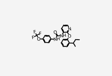 CCC(C)c1ccccc1Oc1ncccc1NC(=O)Nc1ccc(OC(F)(F)F)cc1